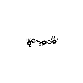 COc1ccccc1N1CCN(c2ccc(C(=O)CCCN3CCC(O)(c4cccc(C(F)(F)F)c4)CC3)c(F)c2)CC1